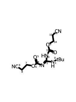 CC(C)(C)N/C(=N/C(=O)OCCC#N)NC(=O)OCCC#N